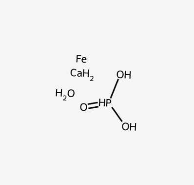 O.O=[PH](O)O.[CaH2].[Fe]